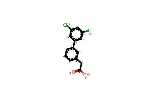 O=C(O)Cc1cccc(-c2cc(Cl)cc(Cl)c2)c1